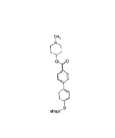 CCCCCCCOc1ccc(-c2ccc(C(=O)OC3CCN(C)CC3)cc2)cc1